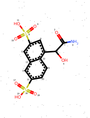 NC(=O)C(O)c1cc(S(=O)(=O)O)cc2cc(S(=O)(=O)O)ccc12